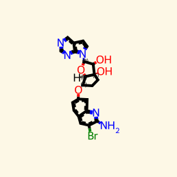 Nc1nc2cc(O[C@H]3CC[C@]4(O)C(O)[C@H](n5ccc6cncnc65)O[C@H]34)ccc2cc1Br